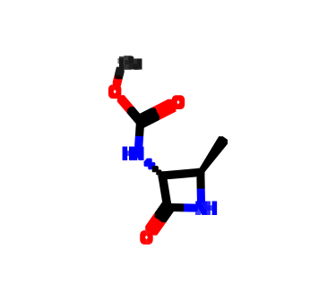 C[C@H]1NC(=O)[C@@H]1NC(=O)OC(C)(C)C